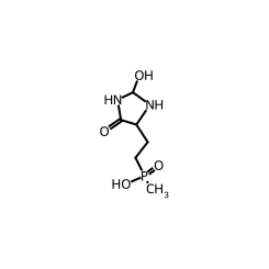 CP(=O)(O)CCC1NC(O)NC1=O